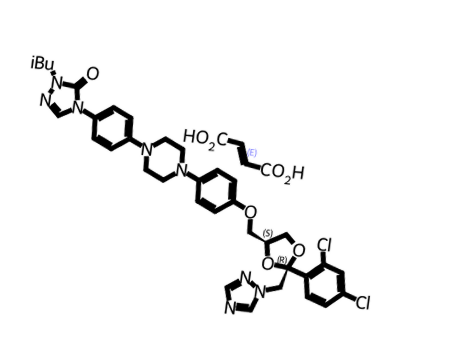 CCC(C)n1ncn(-c2ccc(N3CCN(c4ccc(OC[C@H]5CO[C@](Cn6cncn6)(c6ccc(Cl)cc6Cl)O5)cc4)CC3)cc2)c1=O.O=C(O)/C=C/C(=O)O